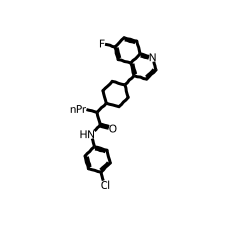 CCCC(C(=O)Nc1ccc(Cl)cc1)C1CCC(c2ccnc3ccc(F)cc23)CC1